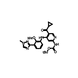 COc1c(Nc2cc(NC(=O)OC(C)(C)C)ncc2C(=O)C2CC2)cccc1-c1ncn(C)n1